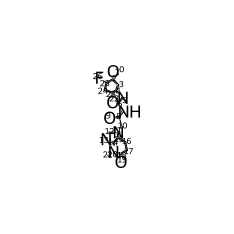 COc1cc2nc(NC(=O)Cn3cnc4c3ccc(=O)n4C)oc2cc1F